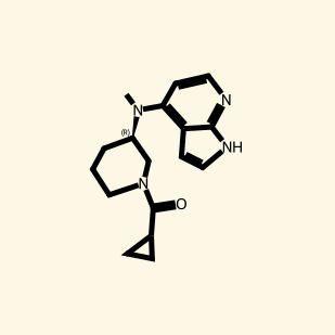 CN(c1ccnc2[nH]ccc12)[C@@H]1CCCN(C(=O)C2CC2)C1